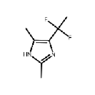 Cc1nc(C(C)(F)F)c(C)[nH]1